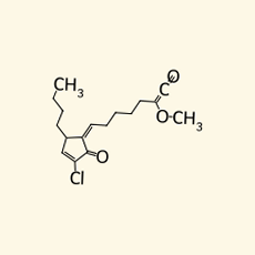 CCCCC1C=C(Cl)C(=O)C1=CCCCCC(=C=O)OC